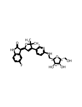 CC1(C)OC(=C2C(=O)Nc3ccc(F)cc32)C=C1c1ccc(NC[C@H]2O[C@H](CO)[C@@H](O)[C@H]2O)nc1